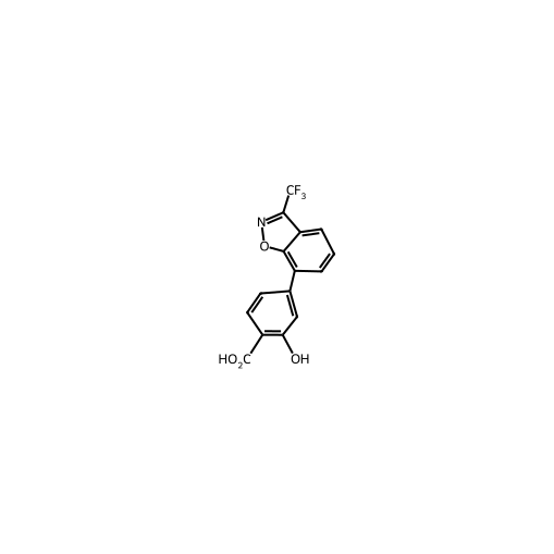 O=C(O)c1ccc(-c2cccc3c(C(F)(F)F)noc23)cc1O